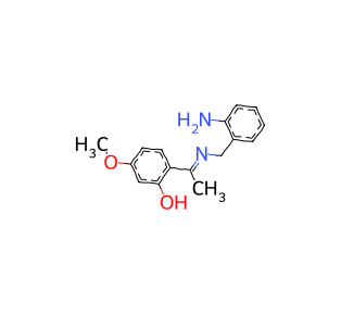 COc1ccc(C(C)=NCc2ccccc2N)c(O)c1